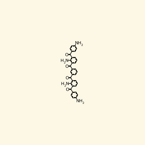 Nc1ccc(C(=O)c2cccc(C(=O)c3cccc(C(=O)c4cccc(C(=O)c5ccc(N)cc5)c4N)c3)c2N)cc1